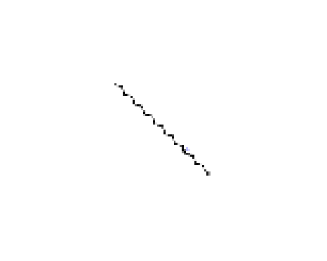 CCCCCCCCCCCCC/C=C/CCCO